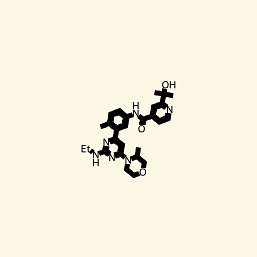 CCNc1nc(-c2cc(NC(=O)c3ccnc(C(C)(C)O)c3)ccc2C)cc(N2CCOCC2C)n1